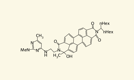 CCCCCCC(CCCCCC)N1C(=O)c2ccc3c4ccc5c6c(ccc(c7ccc(c2c37)C1=O)c64)C(C)(O)N(CCNc1cc(C)nc(NC)n1)C5=O